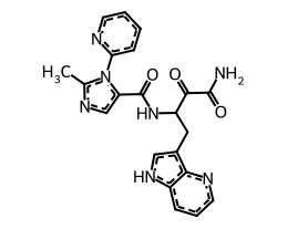 Cc1ncc(C(=O)NC(Cc2c[nH]c3cccnc23)C(=O)C(N)=O)n1-c1ccccn1